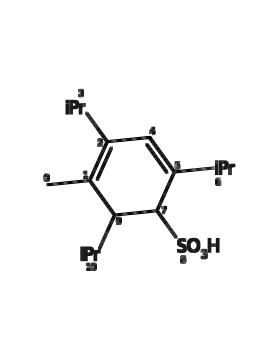 CC1=C(C(C)C)C=C(C(C)C)C(S(=O)(=O)O)C1C(C)C